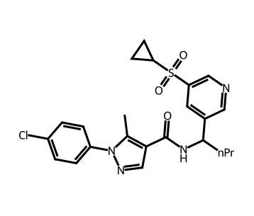 CCCC(NC(=O)c1cnn(-c2ccc(Cl)cc2)c1C)c1cncc(S(=O)(=O)C2CC2)c1